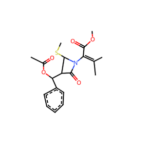 COC(=O)C(=C(C)C)N1C(=O)C(C(OC(C)=O)c2ccccc2)C1SC